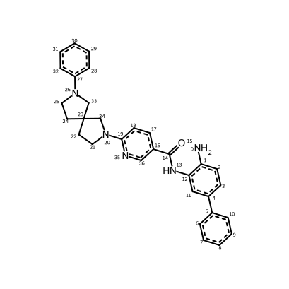 Nc1ccc(-c2ccccc2)cc1NC(=O)c1ccc(N2CCC3(CCN(c4ccccc4)C3)C2)nc1